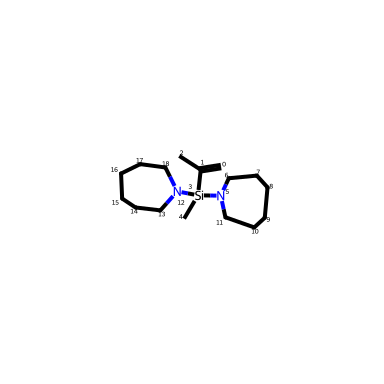 C=C(C)[Si](C)(N1CCCCCC1)N1CCCCCC1